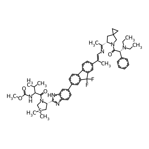 CCN(CC)[C@@H](C(=O)N1CC2(CC2)C[C@H]1/C(C)=N/C=C(\C)c1ccc2c(c1)C(F)(F)c1cc(-c3ccc4nc([C@@H]5CS(C)(C)CN5C(=O)C(NC(=O)OC)C(C)C)[nH]c4c3)ccc1-2)c1ccccc1